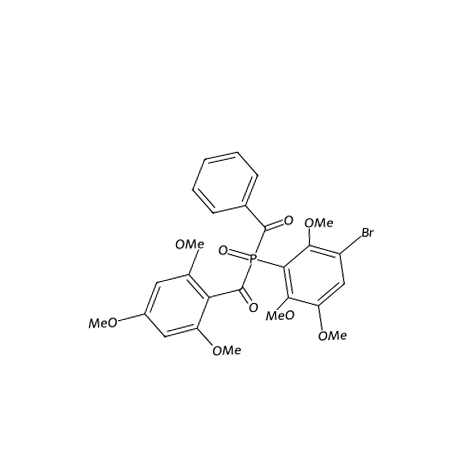 COc1cc(OC)c(C(=O)P(=O)(C(=O)c2ccccc2)c2c(OC)c(Br)cc(OC)c2OC)c(OC)c1